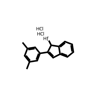 Cc1cc(C)cc(C2=Cc3ccccc3[CH]2[Hf])c1.Cl.Cl